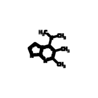 Cc1nc2nccn2c(N(C)C)c1C